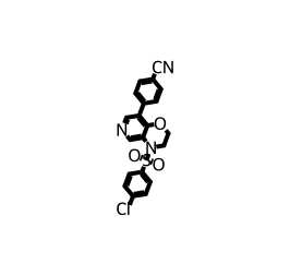 N#Cc1ccc(-c2cncc3c2OCCN3S(=O)(=O)c2ccc(Cl)cc2)cc1